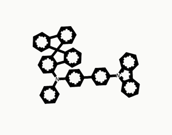 c1ccc(N(c2ccc(-c3ccc(-n4c5ccccc5c5ccccc54)cc3)cc2)c2cccc3c2-c2ccccc2C32c3ccccc3-c3ccccc32)cc1